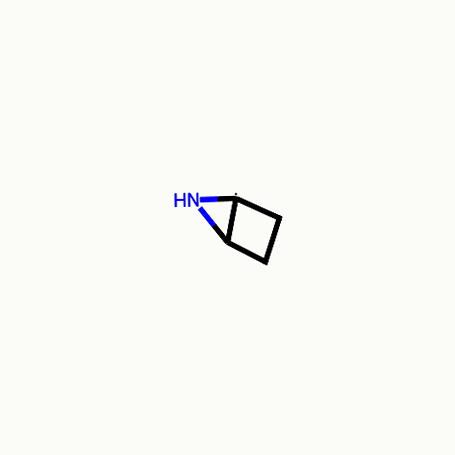 C1CC2N[C]12